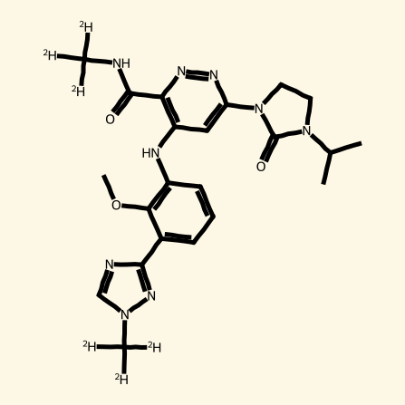 [2H]C([2H])([2H])NC(=O)c1nnc(N2CCN(C(C)C)C2=O)cc1Nc1cccc(-c2ncn(C([2H])([2H])[2H])n2)c1OC